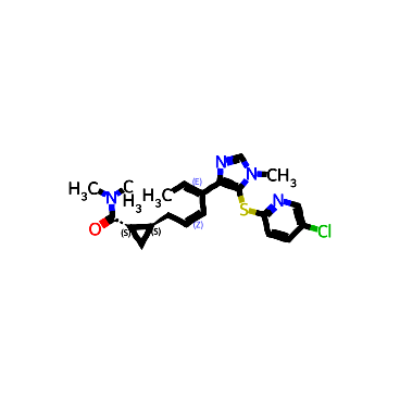 C/C=C(\C=C/C[C@H]1C[C@@H]1C(=O)N(C)C)c1ncn(C)c1Sc1ccc(Cl)cn1